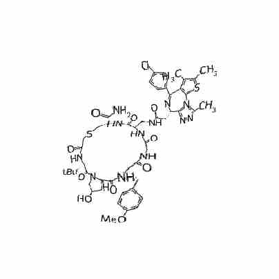 COc1ccc(C[C@@H]2NC(=O)[C@@H]3C[C@@H](O)CN3C(=O)[C@H](C(C)(C)C)NC(=O)CSC[C@H](C(N)=O)NC(=O)[C@@H](CNC(=O)C[C@@H]3N=C(c4ccc(Cl)cc4)c4c(sc(C)c4C)-n4c(C)nnc43)NC(=O)CNC2=O)cc1